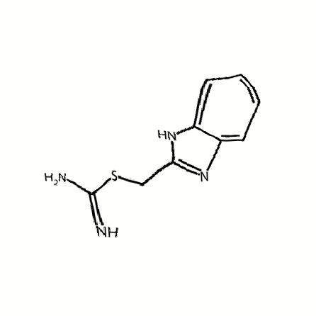 N=C(N)SCc1nc2ccccc2[nH]1